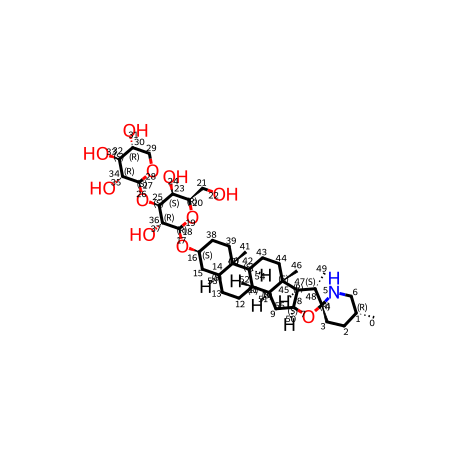 C[C@@H]1CC[C@@]2(NC1)O[C@H]1C[C@H]3[C@@H]4CC[C@H]5C[C@@H](O[C@@H]6O[C@H](CO)[C@H](O)[C@H](O[C@@H]7OC[C@@H](O)[C@H](O)[C@H]7O)[C@H]6O)CC[C@]5(C)[C@H]4CC[C@]3(C)[C@H]1[C@@H]2C